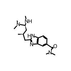 CN[C@@H](C[C@H](C)Cc1nc2cc(C(=O)N(C)C)ccc2[nH]1)N(C)C